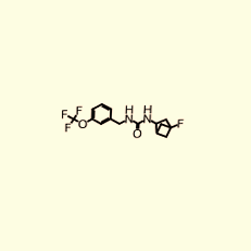 O=C(NCc1cccc(OC(F)(F)F)c1)NC1CC2(F)CC1C2